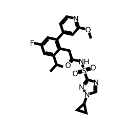 COc1cc(-c2cc(F)cc(C(C)C)c2CC(=O)NS(=O)(=O)c2ncn(C3CC3)n2)ccn1